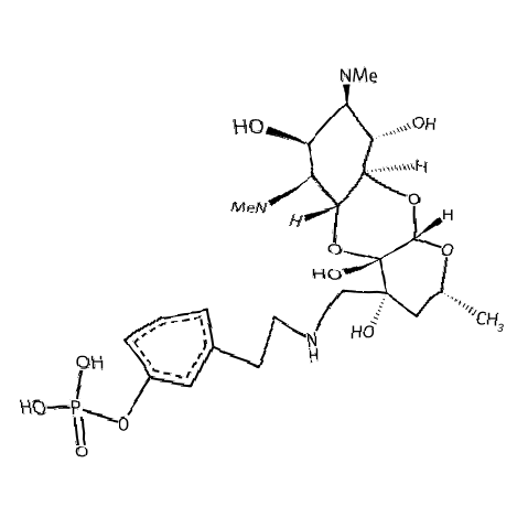 CN[C@@H]1[C@H](O)[C@H](NC)[C@H]2O[C@]3(O)[C@H](O[C@@H]2[C@H]1O)O[C@H](C)C[C@@]3(O)CNCCc1cccc(OP(=O)(O)O)c1